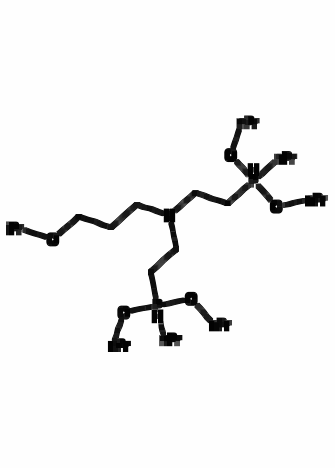 CCCO[PH](CCC)(CCN(CCCOC(C)C)CC[PH](CCC)(OCCC)OCCC)OCCC